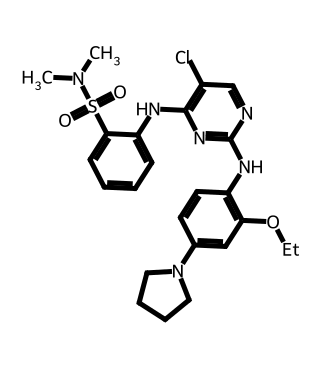 CCOc1cc(N2CCCC2)ccc1Nc1ncc(Cl)c(Nc2ccccc2S(=O)(=O)N(C)C)n1